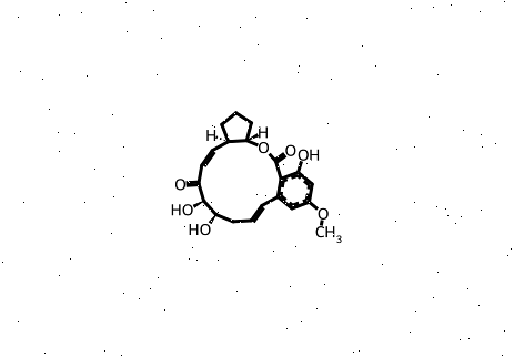 COc1cc(O)c2c(c1)/C=C/C[C@@H](O)[C@@H](O)C(=O)/C=C\[C@H]1CCC[C@@H]1OC2=O